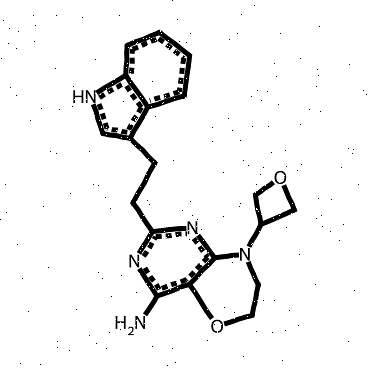 Nc1nc(CCc2c[nH]c3ccccc23)nc2c1OCCN2C1COC1